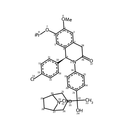 COc1cc2c(cc1OC(C)C)[C@H](c1ccc(Cl)cc1)N(c1ccc(C(C)(O)C3CC4CCC(C3)N4C=O)cc1)C(=O)C2